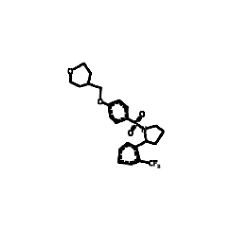 O=S(=O)(c1ccc(OCC2CCOCC2)cc1)N1CCCC1c1ccccc1C(F)(F)F